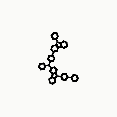 C1=C(c2ccc(N(c3ccccc3)c3ccc4c(c3)c3ccccc3n4-c3ccc(-c4ccccc4)cc3)cc2)CCc2c1c1ccccc1n2-c1ccccc1